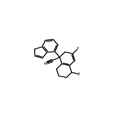 N#CC1(c2cccc3c2C=CC3)CC(F)=CC2=C1CCCC2F